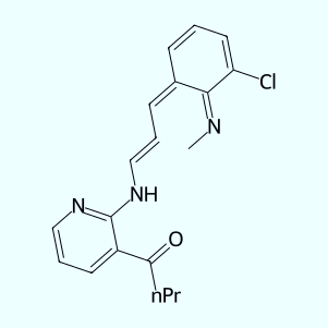 CCCC(=O)c1cccnc1N/C=C/C=C1/C=CC=C(Cl)/C1=N/C